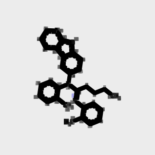 CCCC/C(=N\c1ccccc1C)N(c1ccc2oc3ncccc3c2c1)c1ccccc1C